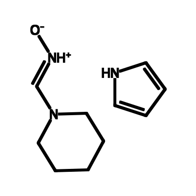 [O-][NH+]=CN1CCCCC1.c1cc[nH]c1